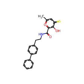 Cc1cc(=S)c(O)c(C(=O)NCCc2ccc(-c3ccccc3)cc2)o1